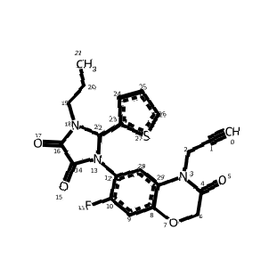 C#CCN1C(=O)COc2cc(F)c(N3C(=O)C(=O)N(CCC)C3c3cccs3)cc21